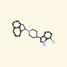 Clc1cccc2c(C3CCN(C4Cc5cccc6cccc4c56)CC3)c[nH]c12